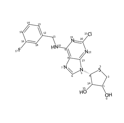 OC1CS[C@@H](n2cnc3c(NCc4cccc(F)c4)nc(Cl)nc32)C1O